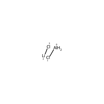 [AlH2][Cl].[Li][Cl]